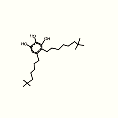 CC(C)(C)CCCCCCc1c(CCCCCC(C)(C)C)cc(O)c(O)c1O